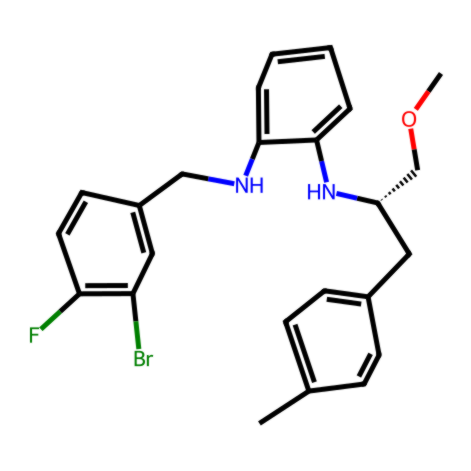 COC[C@H](Cc1ccc(C)cc1)Nc1ccccc1NCc1ccc(F)c(Br)c1